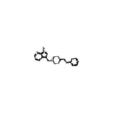 c1ccc(CCC2CCN(Cc3c[nH]c4ncccc34)CC2)cc1